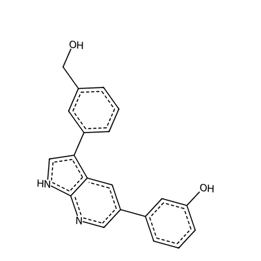 OCc1cccc(-c2c[nH]c3ncc(-c4cccc(O)c4)cc23)c1